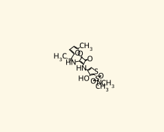 CC[C@@H](Nc1c(Nc2csc(S(=O)(=O)N(C)C)c2O)c(=O)c1=O)c1ccc(C)o1